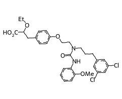 CCOC(Cc1ccc(OCCN(CCCc2cc(Cl)cc(Cl)c2)C(=O)Nc2ccccc2OC)cc1)C(=O)O